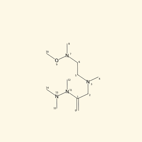 C=C(CN(C)CCN(C)OC)N(C)N(C)C